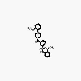 COc1ccccc1NS(=O)(=O)c1cccc(C(=O)N2CCN(c3ccccc3OC)CC2)c1